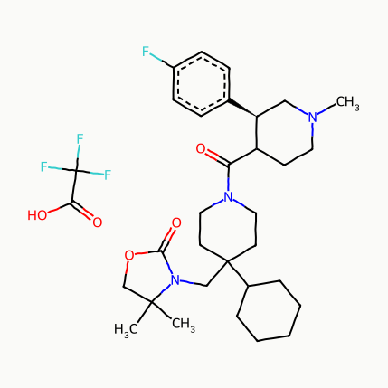 CN1CCC(C(=O)N2CCC(CN3C(=O)OCC3(C)C)(C3CCCCC3)CC2)[C@@H](c2ccc(F)cc2)C1.O=C(O)C(F)(F)F